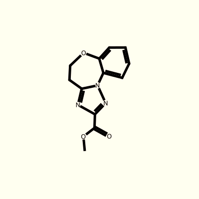 COC(=O)c1nc2n(n1)-c1ccccc1OCC2